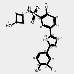 O=S(=O)(N[C@H]1C[C@H](O)C1)c1cc(-c2ncc(-c3ccc(Br)c(F)c3)[nH]2)ccc1Cl